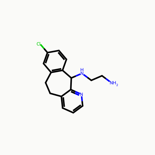 NCCNC1c2ccc(Cl)cc2CCc2cccnc21